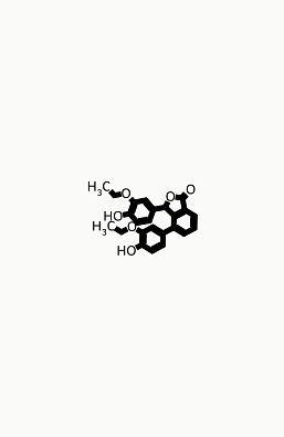 CCOc1cc(-c2cccc3c2C(c2ccc(O)c(OCC)c2)OC3=O)ccc1O